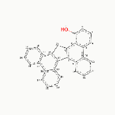 Oc1cccc2c1c1c(c3ccccc32)-c2c(c3ccccc3c3ccccc23)C1